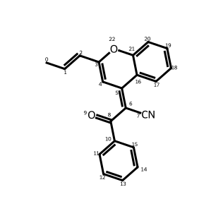 C/C=C/C1=CC(=C(/C#N)C(=O)c2ccccc2)/c2ccccc2O1